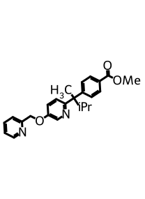 COC(=O)c1ccc(C(C)(c2ccc(OCc3ccccn3)cn2)C(C)C)cc1